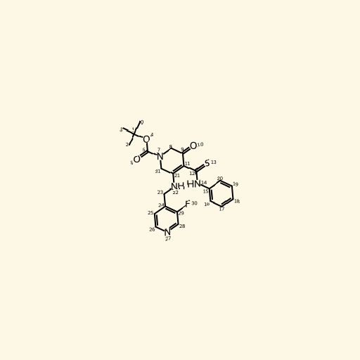 CC(C)(C)OC(=O)N1CC(=O)C(C(=S)Nc2ccccc2)=C(NCc2ccncc2F)C1